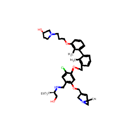 CCOC(=O)[C@H](CO)NCc1cc(Cl)c(OCc2cccc(-c3cccc(OCCCN4CC[C@@H](O)C4)c3C)c2C)cc1OCC1=CC2(C#N)CN2C1